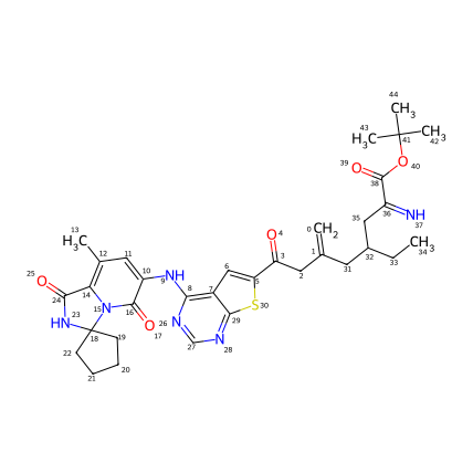 C=C(CC(=O)c1cc2c(Nc3cc(C)c4n(c3=O)C3(CCCC3)NC4=O)ncnc2s1)CC(CC)CC(=N)C(=O)OC(C)(C)C